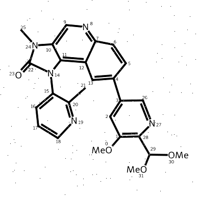 COc1cc(-c2ccc3ncc4c(c3c2)n(-c2cccnc2C)c(=O)n4C)cnc1C(OC)OC